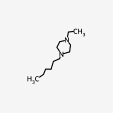 CCCCCCN1CCN(CC)CC1